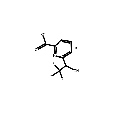 O=C([O-])c1cccc(C(O)C(F)(F)F)n1.[K+]